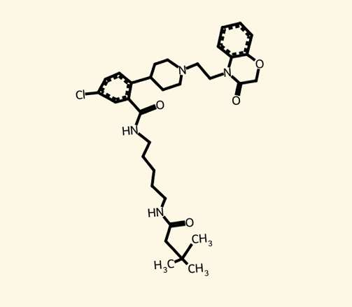 CC(C)(C)CC(=O)NCCCCCNC(=O)c1cc(Cl)ccc1C1CCN(CCN2C(=O)COc3ccccc32)CC1